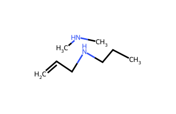 C=CCNCCC.CNC